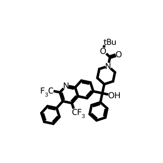 CC(C)(C)OC(=O)N1CCC(C(O)(c2ccccc2)c2ccc3nc(C(F)(F)F)c(-c4ccccc4)c(C(F)(F)F)c3c2)CC1